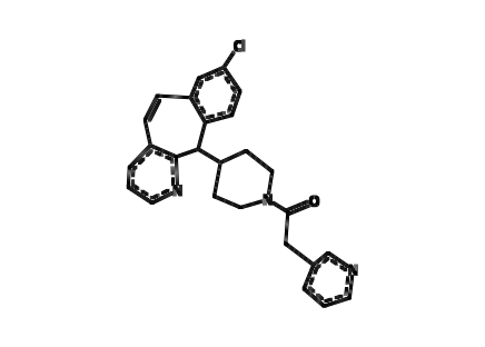 O=C(Cc1cccnc1)N1CCC(C2c3ccc(Cl)cc3C=Cc3cccnc32)CC1